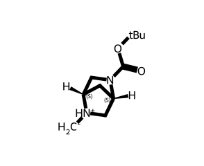 [CH2-][NH+]1C[C@@H]2C[C@H]1CN2C(=O)OC(C)(C)C